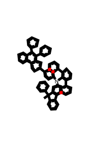 CC1(c2ccccc2)c2ccccc2-c2ccc(N(c3ccc(-c4ccc5c(c4)c(-c4ccccc4)c(-c4ccccc4)c4ccccc45)cc3)c3c(-c4ccccc4)cccc3-c3ccccc3)cc21